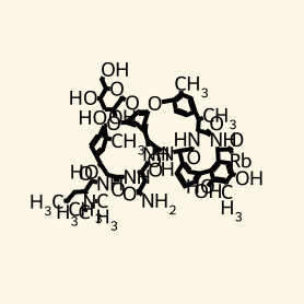 Cc1cc2ccc1Oc1cc3cc(c1OC1OC(CO)C(O)C(O)C1O)Oc1ccc(cc1C)C(O)C(NC(=O)C(CC(C)C)N(C)C)C(=O)NC(CC(N)=O)C(=O)NC3C(=O)NC1C(=O)NC(C(=O)NC([C](=O)[Rb])c3cc(O)c(C)c(O)c3-c3cc1ccc3O)C2C